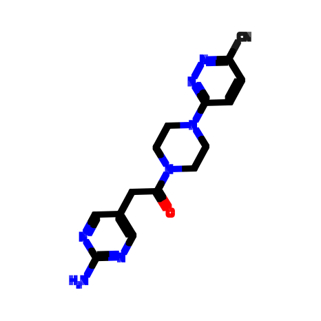 N#Cc1ccc(N2CCN(C(=O)Cc3cnc(N)nc3)CC2)nn1